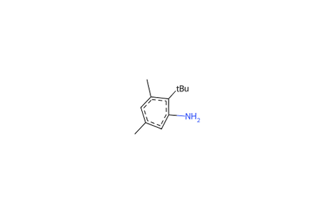 Cc1cc(C)c(C(C)(C)C)c(N)c1